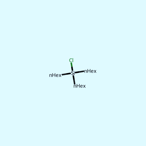 CCCCCC[Si](Cl)(CCCCCC)CCCCCC